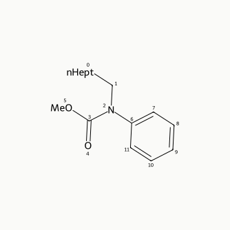 CCCCCCCCN(C(=O)OC)c1ccccc1